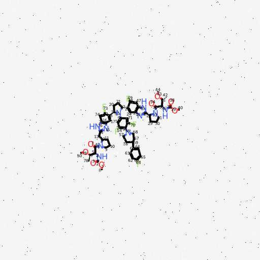 COC(=O)N[C@H](C(=O)N1CCCC1Cc1nc2cc([C@H]3CC[C@H](c4cc5nc([C@@H]6CCCN6C(=O)[C@@H](NC(=O)OC)[C@@H](C)OC)[nH]c5cc4F)N3c3cc(F)c(N4CCC(c5ccc(F)cc5)CC4)c(F)c3)c(F)cc2[nH]1)[C@@H](C)OC